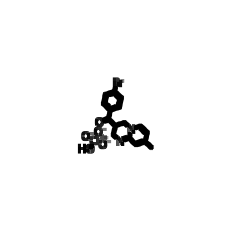 CC1=CC2=NCC(C(=O)c3ccc(Br)cc3)CN2C=C1.[O-][Cl+3]([O-])([O-])O